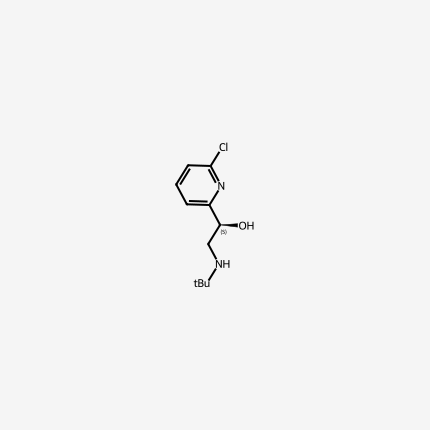 CC(C)(C)NC[C@H](O)c1cccc(Cl)n1